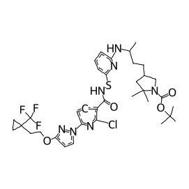 CC(CCC1CN(C(=O)OC(C)(C)C)C(C)(C)C1)Nc1cccc(SNC(=O)c2ccc(-n3ccc(OCCC4(C(F)(F)F)CC4)n3)nc2Cl)n1